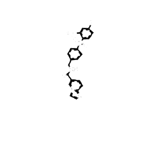 O=C(NCc1ccc(S(=O)(=O)c2ccc(F)cc2C(F)(F)F)cc1)c1ccc2nccn2c1